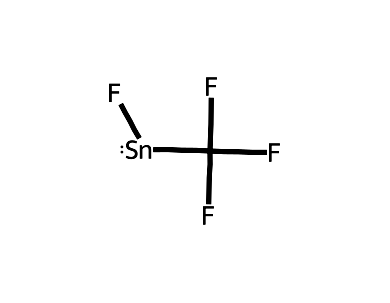 [F][Sn][C](F)(F)F